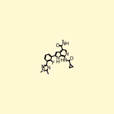 CNC(=O)c1cnc(NC(=O)C2CC2)c2[nH]c(-c3cccc(-c4nc(C)n(C)n4)c3F)cc12